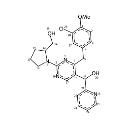 COc1ccc(Cc2nc(N3CCCC3CO)ncc2C(O)c2ccccn2)cc1Cl